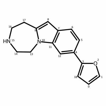 c1coc(-c2ccc3cc4n(c3c2)CCNCC4)c1